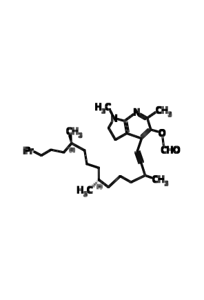 Cc1nc2c(c(C#CC(C)CCC[C@H](C)CCC[C@H](C)CCCC(C)C)c1OC=O)CCN2C